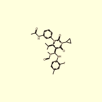 CC(=O)Nc1cccc(-n2c(=C(C)C)/c(=C(/Nc3ccc(C)cc3F)N(C)C=O)c(=O)n(C3CC3)c2=O)c1